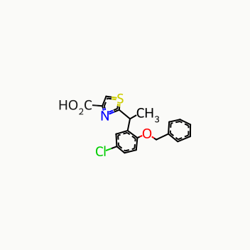 CC(c1nc(C(=O)O)cs1)c1cc(Cl)ccc1OCc1ccccc1